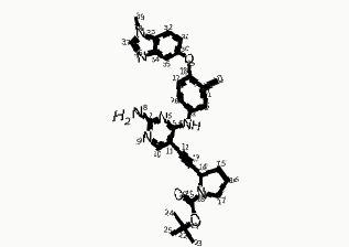 Cc1cc(Nc2nc(N)ncc2C#CC2CCCN2C(=O)OC(C)(C)C)ccc1Oc1ccc2c(c1)ncn2C